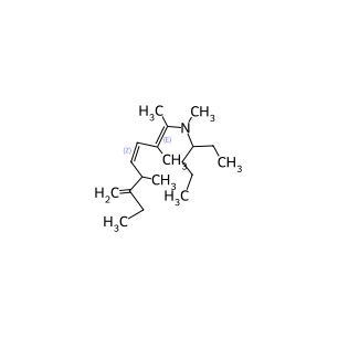 C=C(CC)C(C)/C=C\C(C)=C(/C)N(C)C(CC)CCC